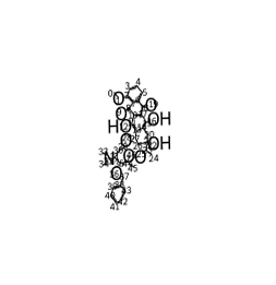 COc1cccc2c1C(=O)c1c(O)c3c(c(O)c1C2=O)C[C@@](O)(C(C)=O)C[C@@H]3O[C@H]1C[C@H](N(C)C)[C@H](OCc2ccccc2)[C@H](C)O1